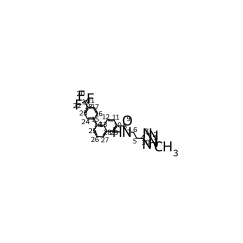 Cn1nnc(CCNC(=O)c2ccc3c(-c4ccc(C(F)(F)F)cc4)cccc3c2)n1